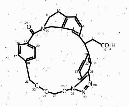 O=C(O)CC1c2ccc3c(c2)CN(CC3)C(=O)c2ccc(cc2)CCCCCn2nnc3cc1ccc32